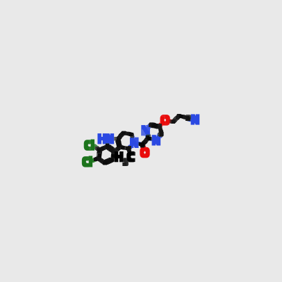 CC1c2c([nH]c3c(Cl)c(Cl)ccc23)CCN1C(=O)c1ncc(OCCC#N)cn1